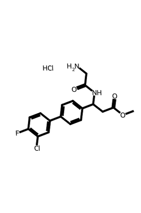 COC(=O)CC(NC(=O)CN)c1ccc(-c2ccc(F)c(Cl)c2)cc1.Cl